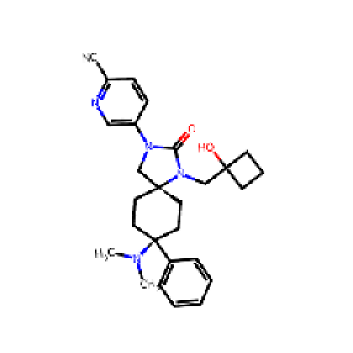 CN(C)[C@]1(c2ccccc2)CC[C@@]2(CC1)CN(c1ccc(C#N)nc1)C(=O)N2CC1(O)CCC1